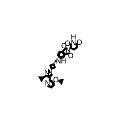 O=C1CCC(N2C(=O)c3ccc(NC[C@H]4C[C@H](n5cc(-c6ncccc6OC6CC6)c(C6CC6)n5)C4)cc3C2=O)C(=O)N1